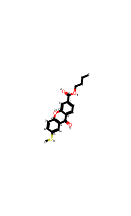 CCCCOC(=O)c1ccc2c(=O)c3cc(SC)ccc3oc2c1